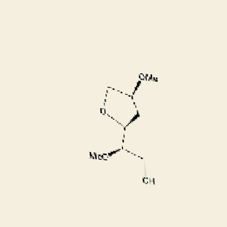 CO[C@@H]1CO[C@H]([C@@H](CO)OC)C1